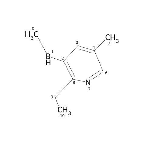 CBc1cc(C)cnc1CC